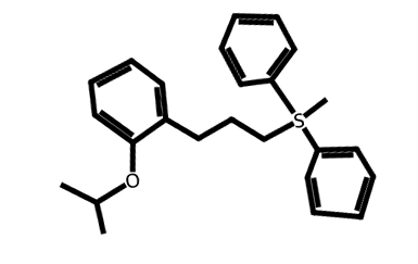 CC(C)Oc1ccccc1CCCS(C)(c1ccccc1)c1ccccc1